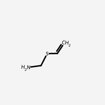 C=CSCN